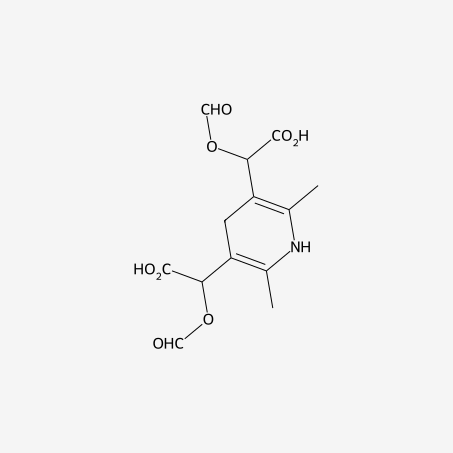 CC1=C(C(OC=O)C(=O)O)CC(C(OC=O)C(=O)O)=C(C)N1